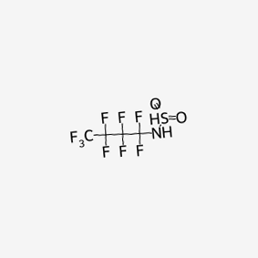 O=[SH](=O)NC(F)(F)C(F)(F)C(F)(F)C(F)(F)F